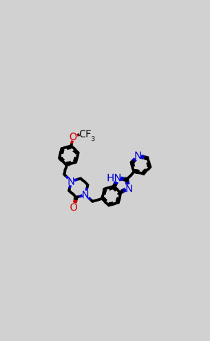 O=C1CN(Cc2ccc(OC(F)(F)F)cc2)CCN1Cc1ccc2nc(-c3cccnc3)[nH]c2c1